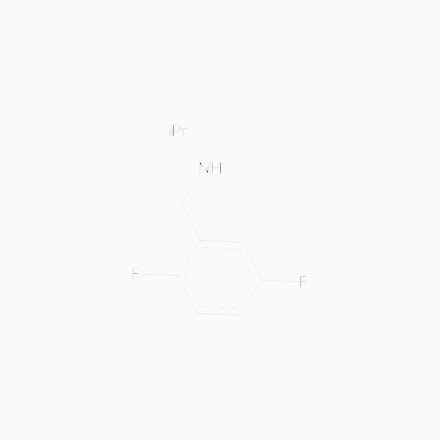 CC(C)NCc1cc(F)ccc1F